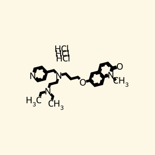 CCN(CC)CCN(CCCOc1ccc2c(ccc(=O)n2C)c1)Cc1ccncc1.Cl.Cl.Cl